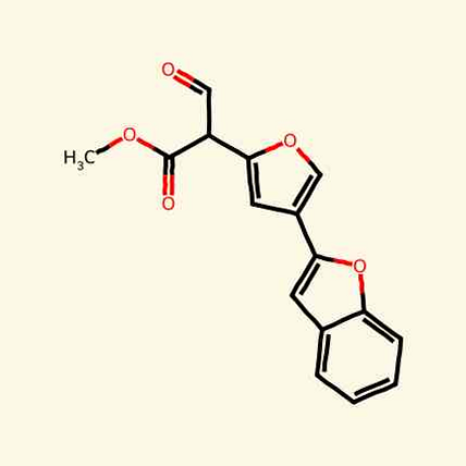 COC(=O)C(C=O)c1cc(-c2cc3ccccc3o2)co1